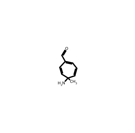 CC1(N)C=CC=C(C=O)C=C1